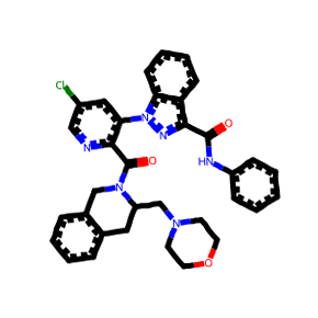 O=C(Nc1ccccc1)c1nn(-c2cc(Cl)cnc2C(=O)N2Cc3ccccc3CC2CN2CCOCC2)c2ccccc12